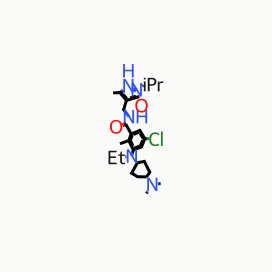 CCN(c1cc(Cl)cc(C(=O)NCc2c(C)[nH]n(C(C)C)c2=O)c1C)C1CCC(N(C)C)CC1